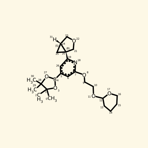 CC1(C)OB(c2cc(OCCOC3CCCCO3)nc([C@]34COC[C@H]3C4)c2)OC1(C)C